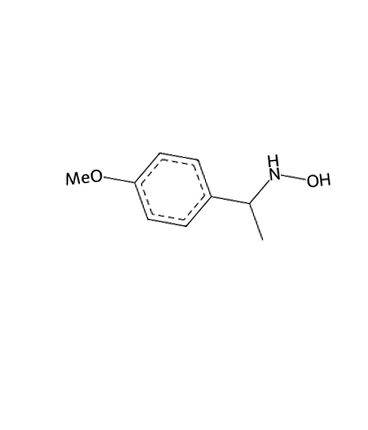 COc1ccc(C(C)NO)cc1